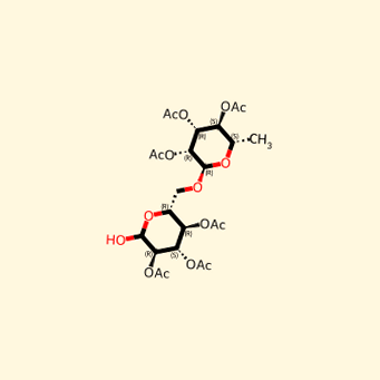 CC(=O)O[C@@H]1[C@@H](OC(C)=O)[C@H](C)O[C@@H](OC[C@H]2OC(O)[C@H](OC(C)=O)[C@@H](OC(C)=O)[C@@H]2OC(C)=O)[C@@H]1OC(C)=O